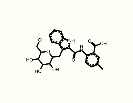 Cc1ccc(NC(=O)c2[nH]c3ccccc3c2CC2OC(CO)C(O)C(O)C2O)c(C(=O)O)c1